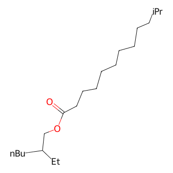 CCCCC(CC)COC(=O)CCCCCCCCCC(C)C